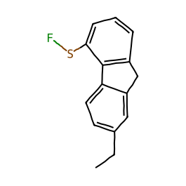 CCc1ccc2c(c1)Cc1cccc(SF)c1-2